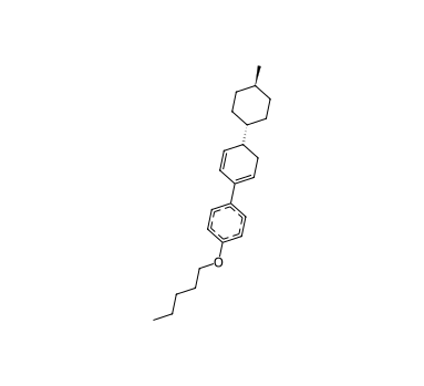 CCCCCOc1ccc(C2=CCC([C@H]3CC[C@H](C)CC3)C=C2)cc1